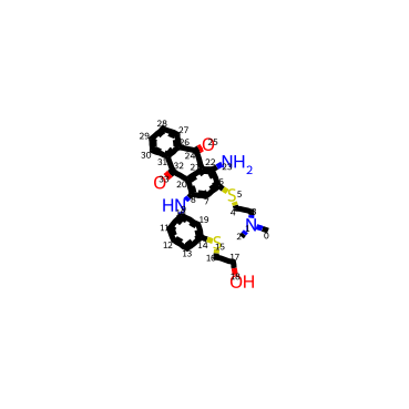 CN(C)CCSc1cc(Nc2cccc(SCCO)c2)c2c(c1N)C(=O)c1ccccc1C2=O